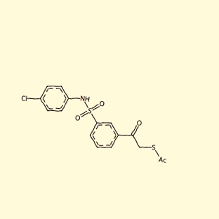 CC(=O)SCC(=O)c1cccc(S(=O)(=O)Nc2ccc(Cl)cc2)c1